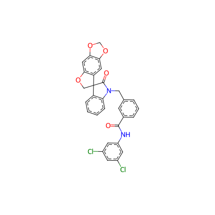 O=C(Nc1cc(Cl)cc(Cl)c1)c1cccc(CN2C(=O)C3(COc4cc5c(cc43)OCO5)c3ccccc32)c1